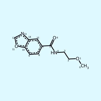 COCCNC(=O)c1ccc2ocnc2c1